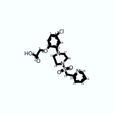 O=C(O)COc1ccc(Cl)cc1N1CCN(S(=O)(=O)Cc2ccccn2)CC1